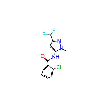 Cn1nc(C(F)F)cc1NC(=O)c1ccccc1Cl